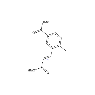 COC(=O)c1ccc(C)c(/C=C/C(=O)OCC(C)C)c1